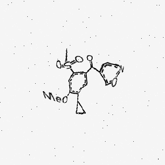 COc1cc(S(C)(=O)=O)c(C(=O)c2cnoc2)cc1C1CC1